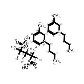 CCCCN1C=CC=C(C)C1.CCCCN1C=CC=C(C)C1.O=S(=O)(O)C(F)(F)C(F)(F)C(F)(F)S(=O)(=O)O